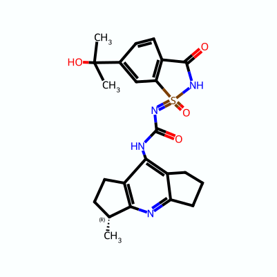 C[C@@H]1CCc2c1nc1c(c2NC(=O)N=S2(=O)NC(=O)c3ccc(C(C)(C)O)cc32)CCC1